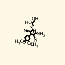 COc1ccc(-c2c(C#N)c(N)nc(SCC(O)CO)c2C#N)cc1OC